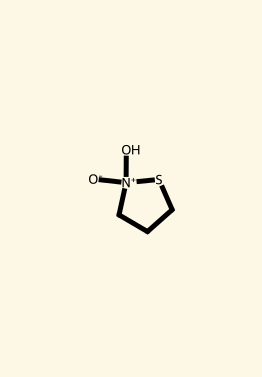 [O-][N+]1(O)CCCS1